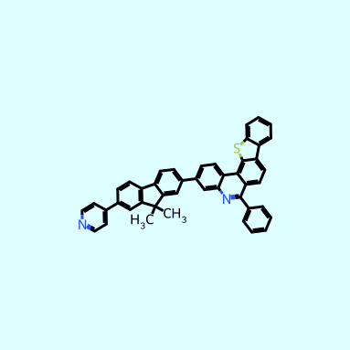 CC1(C)c2cc(-c3ccncc3)ccc2-c2ccc(-c3ccc4c(c3)nc(-c3ccccc3)c3ccc5c6ccccc6sc5c34)cc21